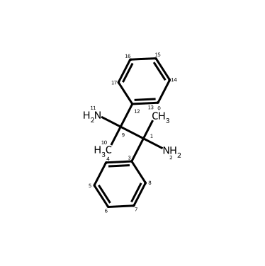 CC(N)(c1ccccc1)C(C)(N)c1ccccc1